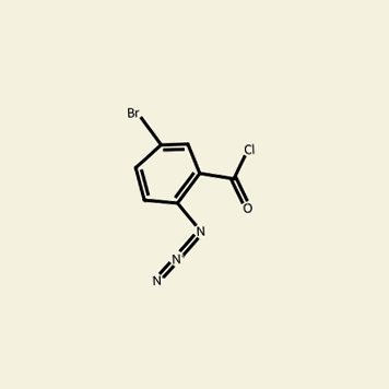 [N-]=[N+]=Nc1ccc(Br)cc1C(=O)Cl